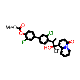 COC(=O)Oc1ccc(-c2ccc(C(C)C(O)(c3ccc(=O)n4ccccc34)C(F)(F)F)c(Cl)c2)cc1F